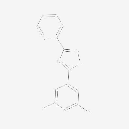 Brc1cc(I)cc(-c2nc(-c3ccccn3)no2)c1